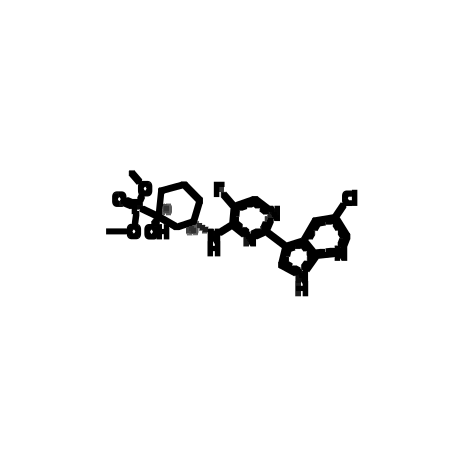 COP(=O)(OC)[C@]1(O)CCC[C@H](Nc2nc(-c3c[nH]c4ncc(Cl)cc34)ncc2F)C1